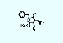 C=CC[C@H](C(=O)OC(C)(C)C)C(CC(C)C)C(=O)OCc1ccccc1